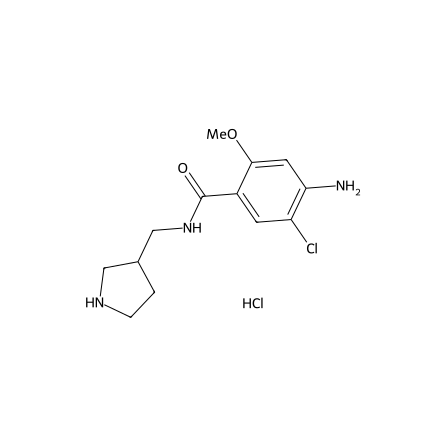 COc1cc(N)c(Cl)cc1C(=O)NCC1CCNC1.Cl